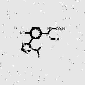 N#Cc1ccc([C@@H](CO)NC(=O)O)cc1-c1ncnn1C(F)F